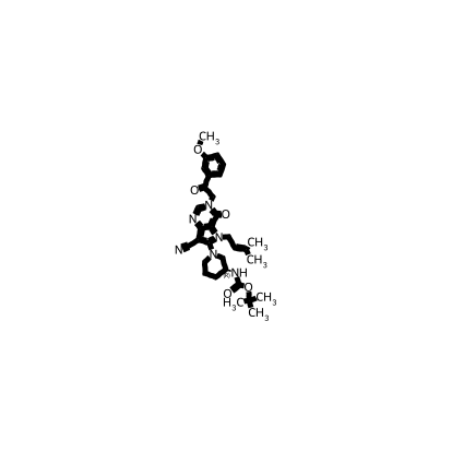 COc1cccc(C(=O)Cn2cnc3c(C#N)c(N4CCC[C@@H](NC(=O)OC(C)(C)C)C4)n(CC=C(C)C)c3c2=O)c1